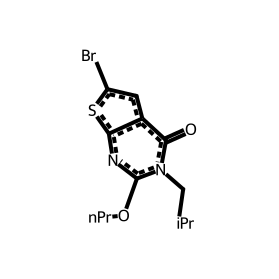 CCCOc1nc2sc(Br)cc2c(=O)n1CC(C)C